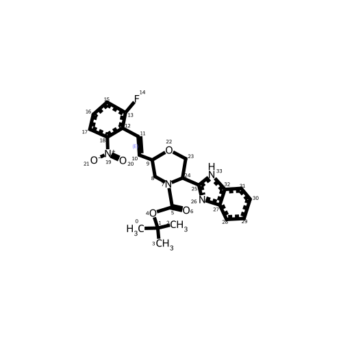 CC(C)(C)OC(=O)N1CC(/C=C/c2c(F)cccc2[N+](=O)[O-])OCC1c1nc2ccccc2[nH]1